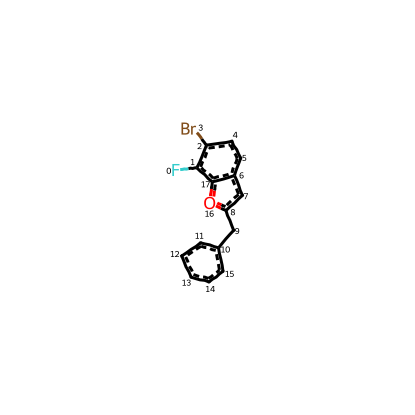 Fc1c(Br)ccc2cc(Cc3ccccc3)oc12